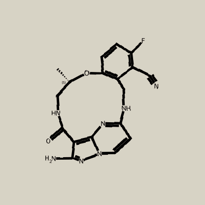 C[C@H]1CNC(=O)c2c(N)nn3ccc(nc23)NCc2c(ccc(F)c2C#N)O1